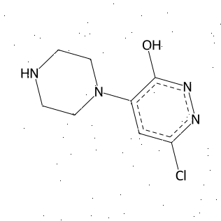 Oc1nnc(Cl)cc1N1CCNCC1